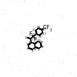 C=C(c1cccc2ccccc12)C(F)(F)c1ccc(C(F)(F)F)cc1